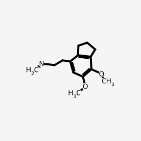 C=NCCc1cc(OC)c(OC)c2c1CCC2